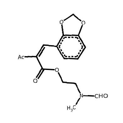 CC(=O)C(=Cc1cccc2c1OCO2)C(=O)OCCN(C)C=O